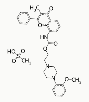 COc1ccccc1N1CCN(CCOC(=O)Nc2cccc3c(=O)c(C)c(-c4ccccc4)oc23)CC1.CS(=O)(=O)O